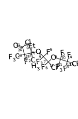 CC[C@](C)(OC(F)(F)C(F)(OC(F)(F)C(F)(F)C(F)(F)F)C(F)(F)F)C(F)(C(=O)Cl)C(F)(F)F